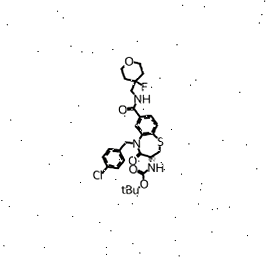 CC(C)(C)OC(=O)N[C@H]1CSc2ccc(C(=O)NCC3(F)CCOCC3)cc2N(Cc2ccc(Cl)cc2)C1=O